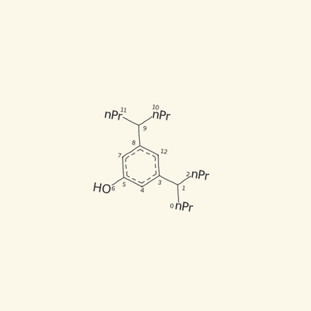 CCCC(CCC)c1cc(O)cc(C(CCC)CCC)c1